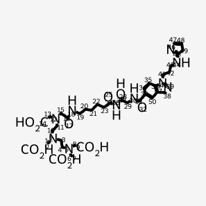 O=C(O)CN(CCN(CC(=O)O)CC(=O)O)CCN(CC(=O)O)CC(=O)NCCCCCC(=O)N[C@H](O)CNC(=O)c1ccc2c(cnn2CCCNC2=NC=CC2)c1